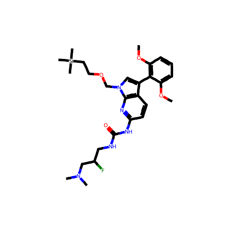 COc1cccc(OC)c1-c1cn(COCC[Si](C)(C)C)c2nc(NC(=O)NCC(F)CN(C)C)ccc12